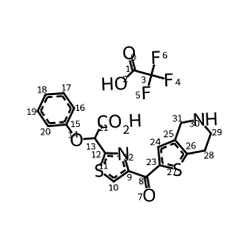 O=C(O)C(F)(F)F.O=C(c1csc(C(Oc2ccccc2)C(=O)O)n1)c1cc2c(s1)CCNC2